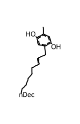 CCCCCCCCCCCCCCCC=CCc1cc(O)c(C)cc1O